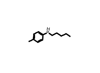 CCCCCPc1ccc(C)cc1